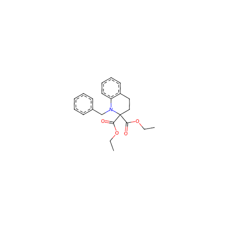 CCOC(=O)C1(C(=O)OCC)CCc2ccccc2N1Cc1ccccc1